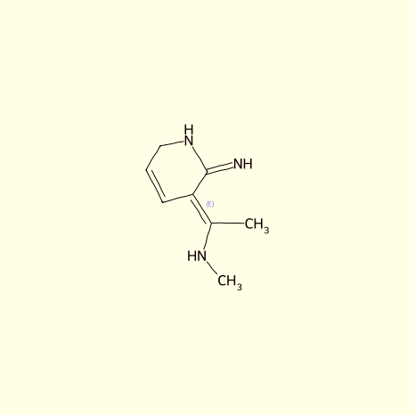 CN/C(C)=C1\C=CCNC1=N